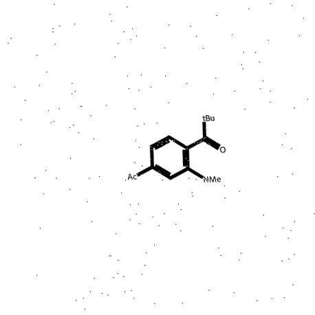 CNc1cc(C(C)=O)ccc1C(=O)C(C)(C)C